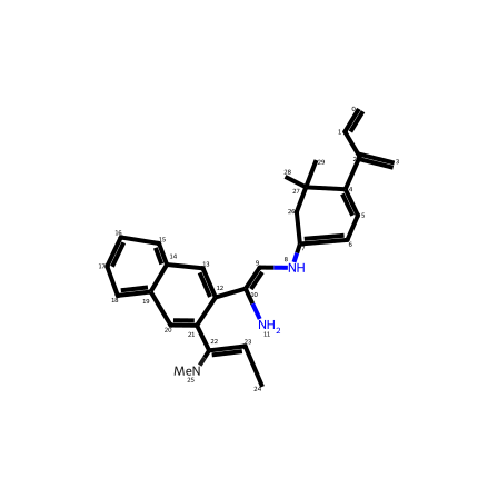 C=CC(=C)C1=CC=C(N/C=C(\N)c2cc3ccccc3cc2/C(=C/C)NC)CC1(C)C